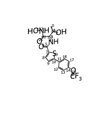 C[C@@H](O)[C@H](NC(=O)c1ccc(-c2ccc(OC(F)(F)F)cc2)s1)C(=O)NO